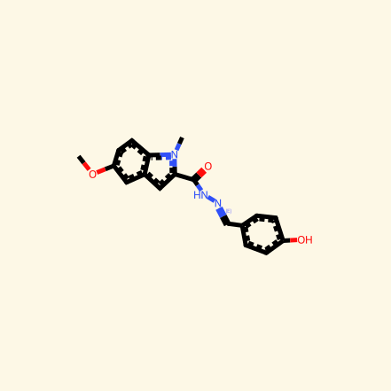 COc1ccc2c(c1)cc(C(=O)N/N=C/c1ccc(O)cc1)n2C